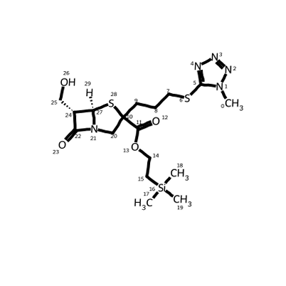 Cn1nnnc1SCCCC1(C(=O)OCC[Si](C)(C)C)CN2C(=O)[C@H](CO)[C@H]2S1